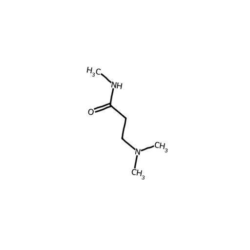 CNC(=O)CCN(C)C